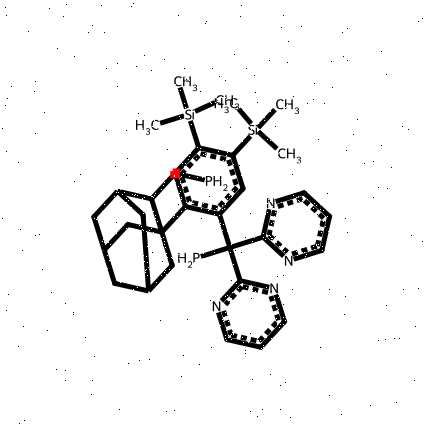 C[Si](C)(C)c1cc(C(P)(c2ncccn2)c2ncccn2)c(C23CC4CC(CC(C4)C2CP)C3)cc1[Si](C)(C)C